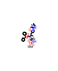 Cc1cnc(N2CC/C(=C\C3=C(C(=O)OC(c4ccccc4)c4ccccc4)N4C(=O)[C@@H](NC(=O)OC(C)(C)C)[C@H]4SC3)C2=O)c(C)n1